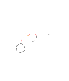 CCCOC(=O)[C@H](C)NP(=O)(CC)Oc1ccccc1